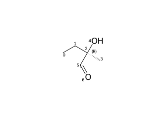 CC[C@@](C)(O)[C]=O